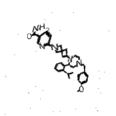 COc1ccc(CN2CCN(C3CC4(C3)CN(c3ccc(C(N)=O)cn3)C4)C(c3ccccc3C(C)C)C2)cc1